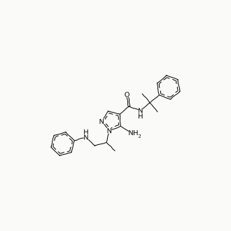 CC(CNc1ccccc1)n1ncc(C(=O)NC(C)(C)c2ccccc2)c1N